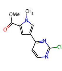 COC(=O)c1cc(-c2ccnc(Cl)n2)cn1C